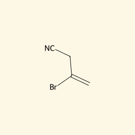 C=C(Br)CC#N